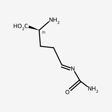 NC(=O)N=CCC[C@H](N)C(=O)O